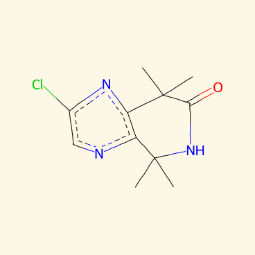 CC1(C)NC(=O)C(C)(C)c2nc(Cl)cnc21